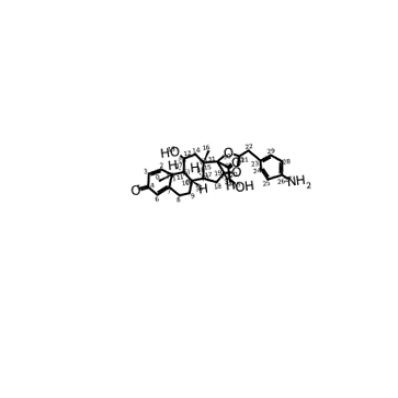 C[C@]12C=CC(=O)C=C1CC[C@@H]1[C@@H]2[C@@H](O)C[C@@]2(C)[C@H]1C[C@H]1OC(Cc3ccc(N)cc3)OC12C(=O)CO